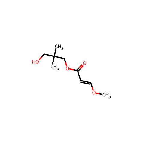 COC=CC(=O)OCC(C)(C)CO